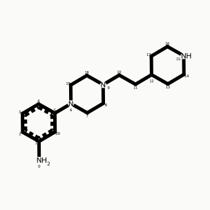 Nc1cccc(N2CCN(CCC3CCNCC3)CC2)c1